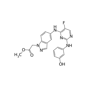 COC(=O)Cn1ncc2cc(Nc3nc(Nc4cccc(O)c4)ncc3F)ccc21